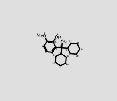 COc1cccc(C(O)(C2CCCCC2)C2CCCCC2)c1O